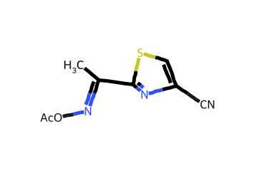 CC(=O)ON=C(C)c1nc(C#N)cs1